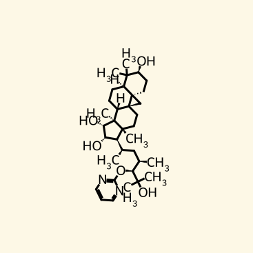 C[C@H](C[C@@H](C)[C@H](Oc1ncccn1)C(C)(C)O)[C@H]1[C@H](O)[C@H](O)[C@@]2(C)[C@@H]3CC[C@H]4C(C)(C)[C@@H](O)CC[C@@]45C[C@@]35CC[C@]12C